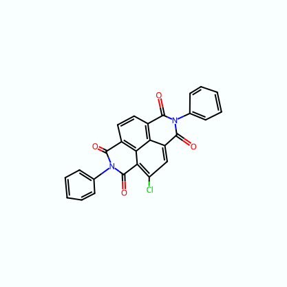 O=C1c2ccc3c4c(c(Cl)cc(c24)C(=O)N1c1ccccc1)C(=O)N(c1ccccc1)C3=O